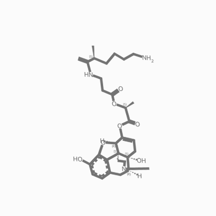 C=C(NCCC(=O)O[C@@H](C)C(=O)OC1=CC[C@@]2(O)[C@H]3Cc4ccc(O)c5c4[C@@]2(CCN3C)[C@H]1O5)[C@@H](C)CCCCN